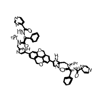 CCCN(Cc1ncc(-c2cc3c4c(c2)OCc2cc(-c5cnc(CN(CCC)C(=O)[C@H](NC(=O)c6ccncn6)c6ccccc6)[nH]5)cc(c2-4)OC3)[nH]1)C(=O)[C@H](NC(=O)c1ccncn1)c1ccccc1